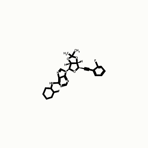 CC1(C)O[C@@H]2[C@H](O1)[C@@H](C#Cc1ccccc1F)O[C@H]2n1cnc2c(NC3CCCCC3F)ncnc21